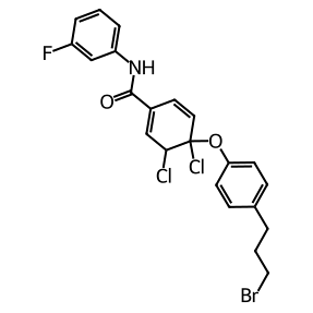 O=C(Nc1cccc(F)c1)C1=CC(Cl)C(Cl)(Oc2ccc(CCCBr)cc2)C=C1